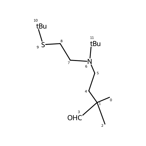 CC(C)(C=O)CCN(CCSC(C)(C)C)C(C)(C)C